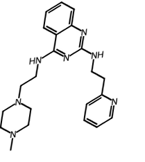 CN1CCN(CCNc2nc(NCCc3ccccn3)nc3ccccc23)CC1